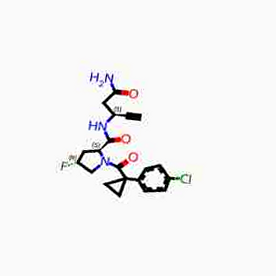 C#C[C@H](CC(N)=O)NC(=O)[C@@H]1C[C@@H](F)CN1C(=O)C1(c2ccc(Cl)cc2)CC1